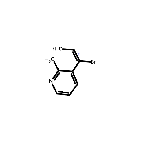 C/C=C(/Br)c1cccnc1C